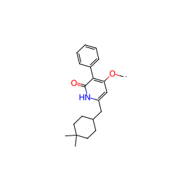 [CH2]Oc1cc(CC2CCC(C)(C)CC2)[nH]c(=O)c1-c1ccccc1